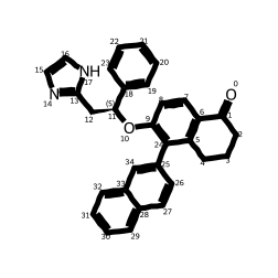 O=C1CCCc2c1ccc(O[C@@H](Cc1ncc[nH]1)c1ccccc1)c2-c1ccc2ccccc2c1